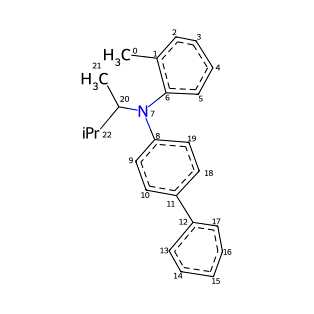 Cc1ccccc1N(c1ccc(-c2ccccc2)cc1)C(C)C(C)C